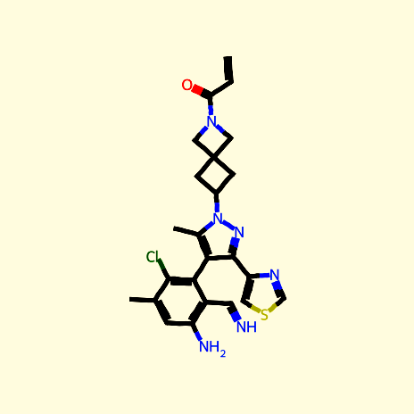 C=CC(=O)N1CC2(CC(n3nc(-c4cscn4)c(-c4c(Cl)c(C)cc(N)c4C=N)c3C)C2)C1